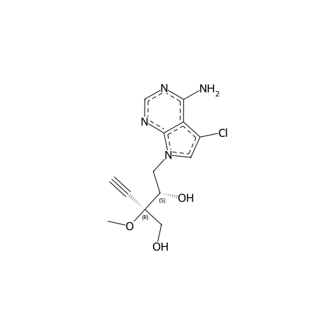 C#C[C@](CO)(OC)[C@@H](O)Cn1cc(Cl)c2c(N)ncnc21